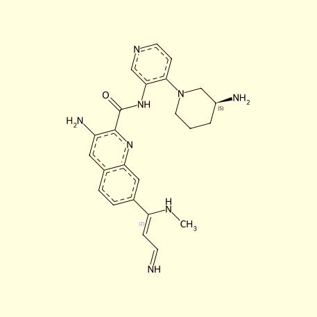 CN/C(=C\C=N)c1ccc2cc(N)c(C(=O)Nc3cnccc3N3CCC[C@H](N)C3)nc2c1